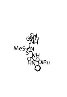 CSc1sc(NC(=O)C(=O)Nc2ccccc2OCC(C)C)nc1CNS(C)(=O)=O